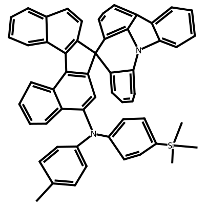 Cc1ccc(N(c2ccc([Si](C)(C)C)cc2)c2cc3c(c4ccccc24)-c2c(ccc4ccccc24)C32c3ccccc3-n3c4ccccc4c4cccc2c43)cc1